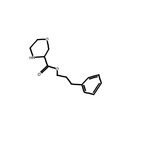 O=C(OCCCc1ccccc1)C1COCCN1